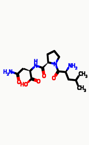 CC(C)C[C@H](N)C(=O)N1CCC[C@H]1C(=O)N[C@@H](CC(N)=O)C(=O)O